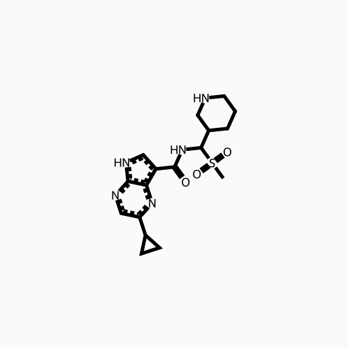 CS(=O)(=O)C(NC(=O)c1c[nH]c2ncc(C3CC3)nc12)C1CCCNC1